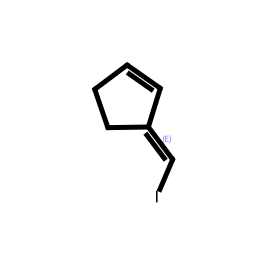 I/C=C1/C=CCC1